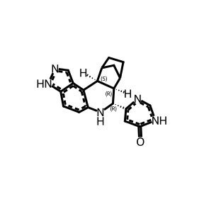 O=c1cc([C@@H]2Nc3ccc4[nH]ncc4c3[C@H]3C4CCC(C4)[C@@H]23)nc[nH]1